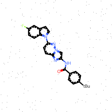 CC(C)(C)c1ccc(C(=O)Nc2cn3nc(-n4ccc5cc(F)ccc54)ccc3n2)cc1